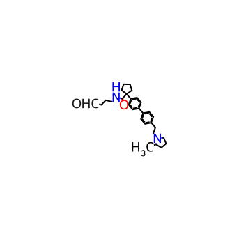 CC1CCCN1CCc1ccc(-c2ccc(C3(C(=O)NCCCC=O)CCCC3)cc2)cc1